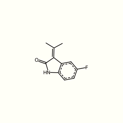 CC(C)=C1C(=O)Nc2ccc(F)cc21